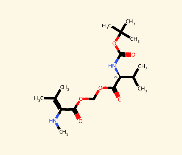 CNC(C(=O)OCOC(=O)[C@@H](NC(=O)OC(C)(C)C)C(C)C)=C(C)C